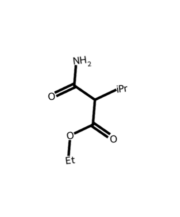 CCOC(=O)C(C(N)=O)C(C)C